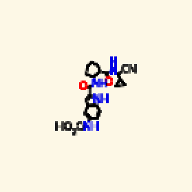 N#CC(NC(=O)[C@@H]1CCCC[C@@H]1NC(=O)c1cc2cc(NC(=O)O)ccc2[nH]1)C1CC1